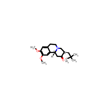 COc1cc2c(cc1OC)[C@H]1CC(=O)[C@H](CC(C)(C)C)CN1CC2